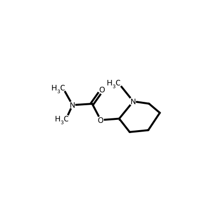 CN1CCCC[C]1OC(=O)N(C)C